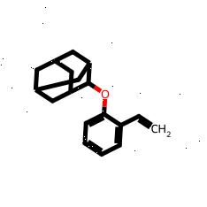 C=Cc1ccccc1OC1C2CC3CC(C2)CC1C3